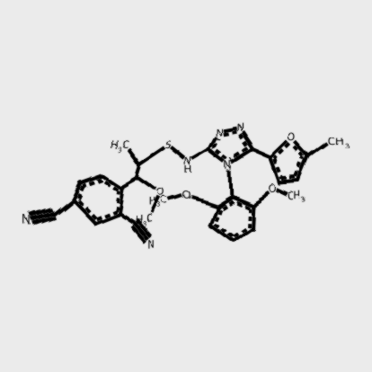 COc1cccc(OC)c1-n1c(NSC(C)C(OC)c2ccc(C#N)cc2C#N)nnc1-c1ccc(C)o1